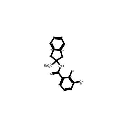 CCOC(=O)C1(NC(=O)c2cccc(C#N)c2C)Cc2ccccc2C1